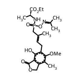 CCOC(=O)[C@H](C)NP(=O)(C/C(C)=C/Cc1c(O)c2c(c(C)c1OC)COC2=O)ON=C(C)C